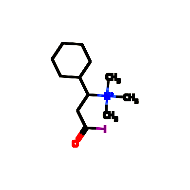 C[N+](C)(C)C(CC(=O)I)C1CCCCC1